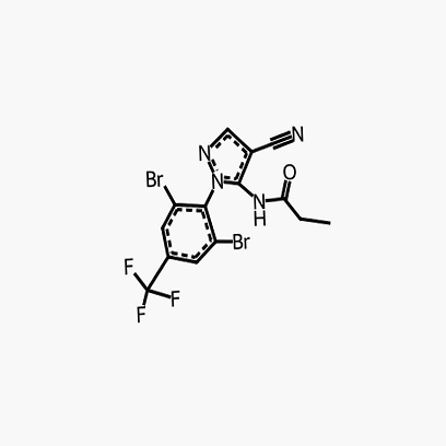 CCC(=O)Nc1c(C#N)cnn1-c1c(Br)cc(C(F)(F)F)cc1Br